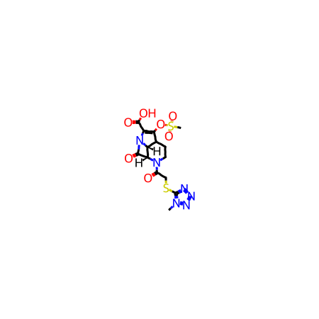 Cn1nnnc1SCC(=O)N1CCC2C(OS(C)(=O)=O)=C(C(=O)O)N3C(=O)[C@@H]1[C@@H]23